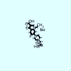 CCn1cc(C(=O)O)c(=O)c2cc(F)c(N3CCN(CS(=O)(=O)O)CC3)cc21.[Na]